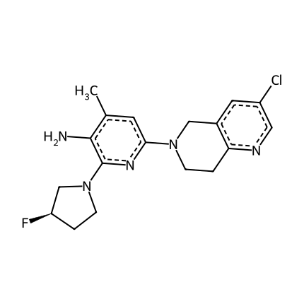 Cc1cc(N2CCc3ncc(Cl)cc3C2)nc(N2CC[C@@H](F)C2)c1N